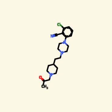 CC(=O)CN1CCC(CCN2CCN(c3cccc(Cl)c3C#N)CC2)CC1